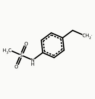 [CH2]Cc1ccc(NS(C)(=O)=O)cc1